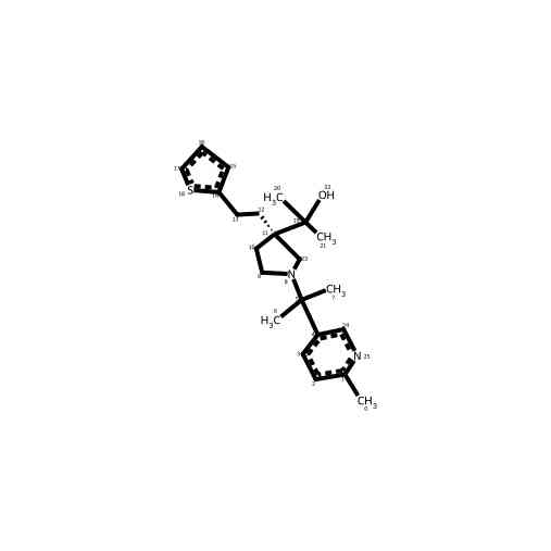 Cc1ccc(C(C)(C)N2CC[C@@](CCc3cccs3)(C(C)(C)O)C2)cn1